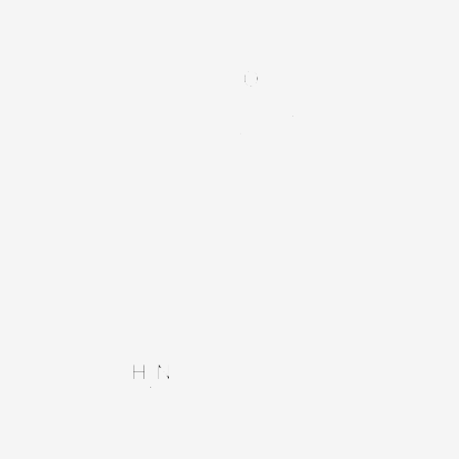 CC1OC1C1CCCC(CN)C1